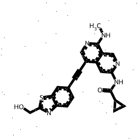 CNc1ncc(C#Cc2ccc3nc(CO)sc3c2)c2cc(NC(=O)C3CC3)ncc12